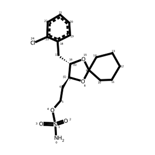 NS(=O)(=O)OCC[C@@H]1OC2(CCCCC2)O[C@H]1Cc1ccccc1Cl